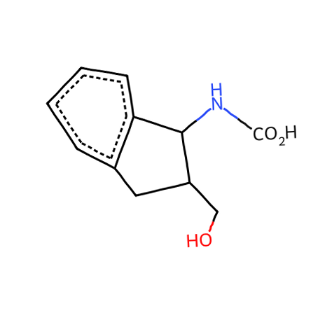 O=C(O)NC1c2ccccc2CC1CO